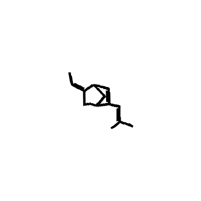 CC=C1CC2CC1C=C2C=C(C)C